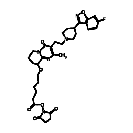 Cc1nc2n(c(=O)c1CCN1CCC(c3noc4cc(F)ccc34)CC1)CCCC2OCCCCCC(=O)ON1C(=O)CCC1=O